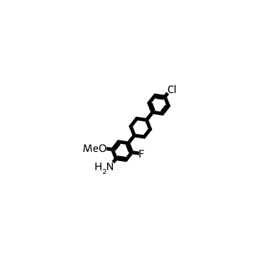 COc1cc(C2CCC(c3ccc(Cl)cc3)CC2)c(F)cc1N